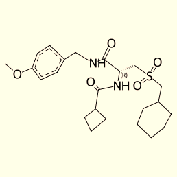 COc1ccc(CNC(=O)[C@H](CS(=O)(=O)CC2CCCCC2)NC(=O)C2CCC2)cc1